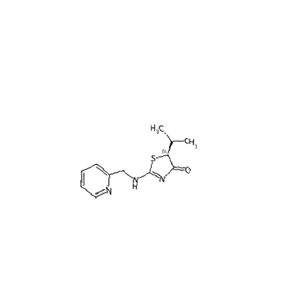 CC(C)[C@@H]1SC(NCc2ccccn2)=NC1=O